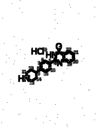 Cl.O=c1[nH]c(-c2ccc(C3CCNCC3)cc2)nc2ccccc12